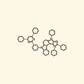 c1ccc(-c2cc(-c3ccccc3)nc(-c3cccc(-n4c5ccccc5c5c6c7c(nc(-c8ccccc8)n7-c7ccccc7)n(-c7ccccc7)c6ccc54)c3)n2)cc1